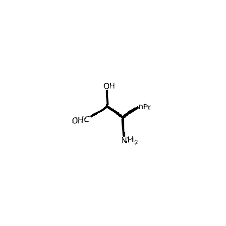 CCCC(N)C(O)C=O